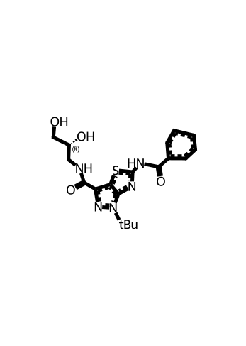 CC(C)(C)n1nc(C(=O)NC[C@@H](O)CO)c2sc(NC(=O)c3ccccc3)nc21